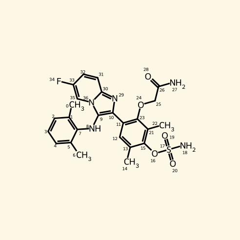 Cc1cccc(C)c1Nc1c(-c2cc(C)c(OS(N)(=O)=O)c(C)c2OCC(N)=O)nc2ccc(F)cn12